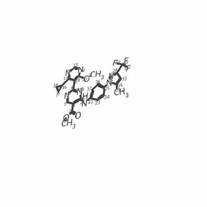 COC(=O)c1cnc(-c2c(OC)ncnc2C2CC2)nc1Nc1ccc(-n2nc(C(F)(F)F)cc2C)cc1